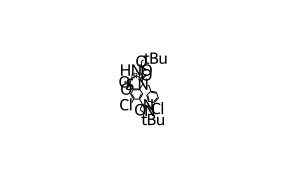 CC(C)(C)OC(=O)N[C@H]1CS(=O)(=O)c2cc(Cl)c(-c3nnc(C(C)(C)C)o3)cc2N(Cc2ccc(Cl)cc2)C1=O